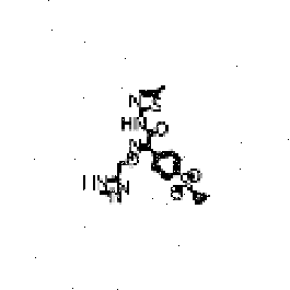 Cc1cnc(NC(=O)/C(=N/OCc2nnc[nH]2)c2ccc(S(=O)(=O)C3CC3)cc2)s1